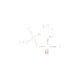 O=P(O)(O)OP(=O)(O)F.[LiH].[LiH]